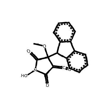 COC1(C2c3ccccc3-c3ccccc32)C(=O)N(O)C(=O)C1=C=O